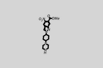 COC(=O)c1cc2nn(C3CCC(N4CCNCC4)CC3)cc2cc1[N+](=O)[O-]